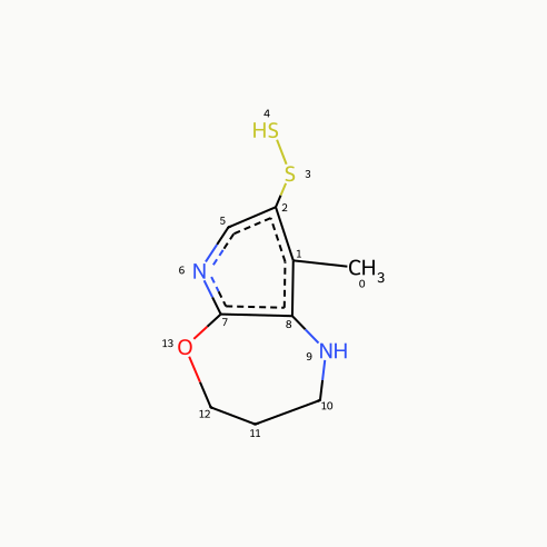 Cc1c(SS)cnc2c1NCCCO2